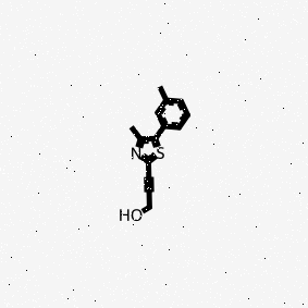 Cc1cccc(-c2sc(C#CCO)nc2C)c1